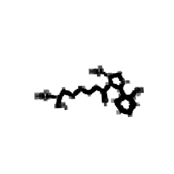 N[C@@H](CSSCCC(=O)N1C(c2ccccc2O)SC[C@H]1C(=O)O)C(=O)O